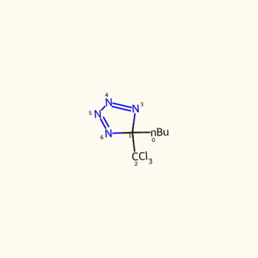 CCCCC1(C(Cl)(Cl)Cl)N=NN=N1